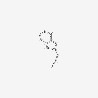 S=C=Nc1cc2ccccc2o1